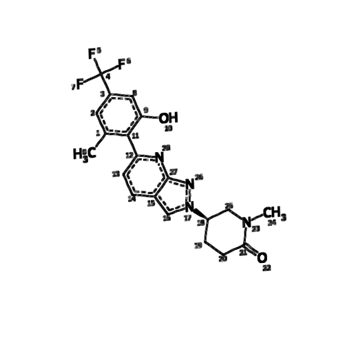 Cc1cc(C(F)(F)F)cc(O)c1-c1ccc2cn([C@@H]3CCC(=O)N(C)C3)nc2n1